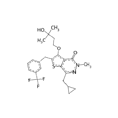 Cn1nc(CC2CC2)c2sc(Cc3cccc(C(F)(F)F)c3)c(OCCC(C)(C)O)c2c1=O